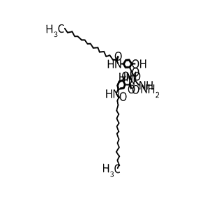 CCCCCCCCCCCCCCCCCC(=O)Nc1ccc(O)c(C(=O)NN(C(=O)C(=O)NN)C(=O)c2cc(NC(=O)CCCCCCCCCCCCCCCCC)ccc2O)c1